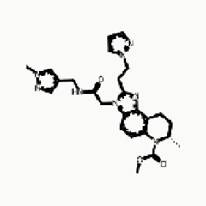 COC(=O)N1c2ccc3c(nc(CCn4cccn4)n3CC(=O)NCc3cnn(C)c3)c2CC[C@@H]1C